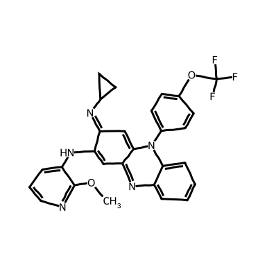 COc1ncccc1Nc1cc2nc3ccccc3n(-c3ccc(OC(F)(F)F)cc3)c-2c/c1=N\C1CC1